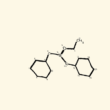 CCOB(OC1CCCCC1)OC1CCCCC1